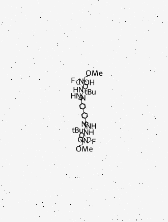 COCCC(=O)N1C[C@H](F)C[C@H]1C(=O)N[C@H](c1nc(-c2ccc(-c3ccc(-c4c[nH]c([C@@H](NC(=O)[C@@H]5C[C@@H](F)CN5C(O)CCOC)C(C)(C)C)n4)cc3)cc2)c[nH]1)C(C)(C)C